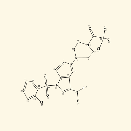 O=C(N1CCN(c2ccc3c(c2)c(C(F)F)cn3S(=O)(=O)c2ccccc2Cl)CC1)C(Cl)(Cl)Cl